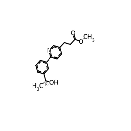 COC(=O)CCc1ccc(-c2cccc([C@@H](C)O)c2)nc1